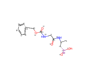 CC(C[PH](=O)O)NC(=O)CNC(=O)OCc1ccccc1